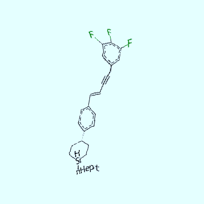 CCCCCCC[Si@H]1CC[C@H](c2ccc(C=CC#Cc3cc(F)c(F)c(F)c3)cc2)CC1